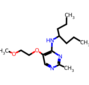 CCCC(CCC)Nc1nc(C)ncc1OCCOC